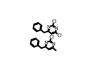 Cc1cc(Cc2ccccc2)nc(Cl)n1.Clc1cc(Cc2ccccc2)nc(Cl)n1